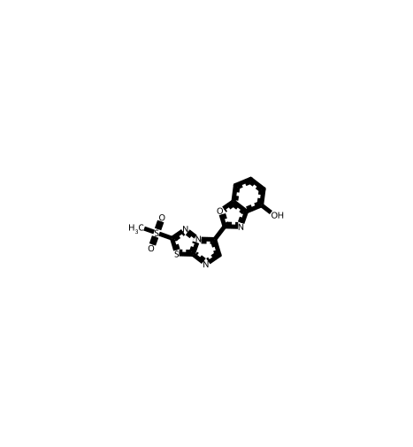 CS(=O)(=O)c1nn2c(-c3nc4c(O)cccc4o3)cnc2s1